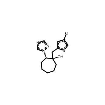 O[C@@]1(Cc2cc(Cl)cs2)CCCCC[C@H]1n1cncn1